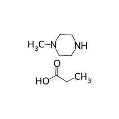 CCC(=O)O.CN1CCNCC1